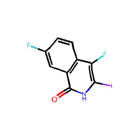 O=c1[nH]c(I)c(F)c2ccc(F)cc12